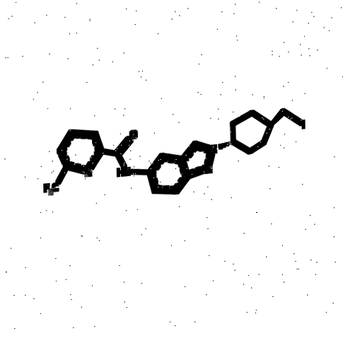 O=C(Nc1ccc2nn([C@H]3CC[C@H](CI)CC3)cc2c1)c1cccc(C(F)(F)F)n1